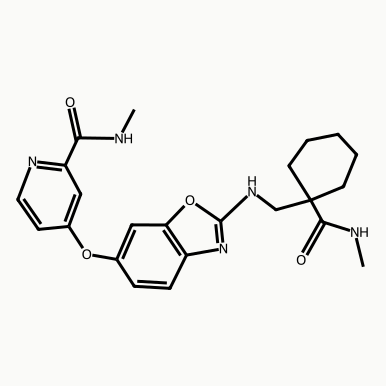 CNC(=O)c1cc(Oc2ccc3nc(NCC4(C(=O)NC)CCCCC4)oc3c2)ccn1